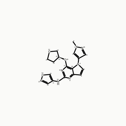 Cn1cc(-n2ccc3nc(Nc4cnoc4)nc(O[C@H]4CCOC4)c32)cn1